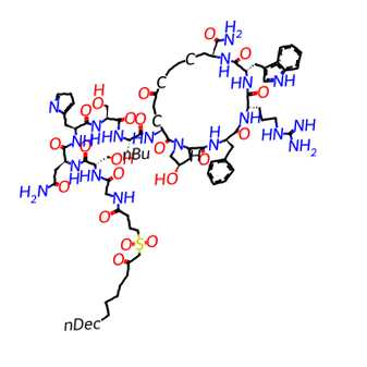 CCCCCCCCCCCCCCCC(=O)CS(=O)(=O)CCCC(=O)NCC(=O)N[C@@H](CO)C(=O)N[C@@H](CC(N)=O)C(=O)N[C@@H](CC1=CCC=N1)C(=O)N[C@@H](CO)C(=O)N[C@@H](CCCC)C(=O)N[C@H]1CCC(=O)CCCCC[C@@H](C(N)=O)NC(=O)[C@H](Cc2c[nH]c3ccccc23)NC(=O)[C@H](CCCNC(=N)N)NC(=O)[C@@H](Cc2ccccc2)NC(=O)[C@@H]2C[C@@H](O)CN2C1=O